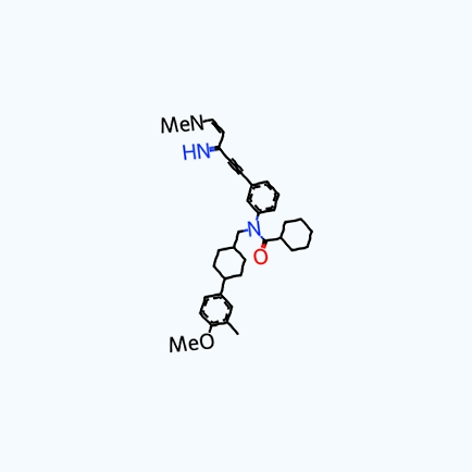 CN/C=C\C(=N)C#Cc1cccc(N(CC2CCC(c3ccc(OC)c(C)c3)CC2)C(=O)C2CCCCC2)c1